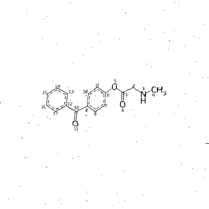 CNCC(=O)Oc1ccc(C(=O)c2ccccc2)cc1